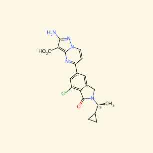 C[C@@H](C1CC1)N1Cc2cc(-c3ccn4nc(N)c(C(=O)O)c4n3)cc(Cl)c2C1=O